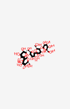 C[C@@H]1OC([C@]2(O)[C@H](O[C@H]3[C@H](O)[C@@H](O)C(C4(O)O[C@H](CO)[C@@H](O[C@@H]5O[C@H](CO)[C@H](O)[C@H](O)[C@H]5O)[C@H](O)[C@H]4O)O[C@@H]3CO)O[C@H](CO)[C@H](O)[C@@H]2O)[C@@H](O)[C@H](O)[C@@H]1O